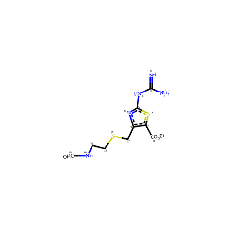 CCOC(=O)c1sc(NC(=N)N)nc1CSCCNC=O